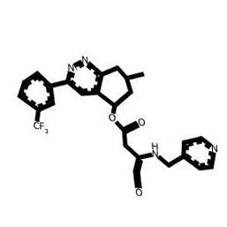 CC1Cc2nnc(-c3cccc(C(F)(F)F)c3)cc2C(OC(=O)CC(=C=O)NCc2ccncc2)C1